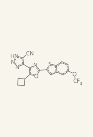 N#Cc1[nH]nnc1-c1nc(-c2cc3cc(OC(F)(F)F)ccc3s2)oc1C1CCC1